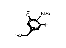 CNc1c(F)cc(CO)cc1F